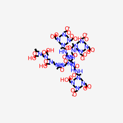 C=CCN(CCN(CCN(CCNC(C)C(=O)NCC(=O)NC(CNC(=O)CNC(=O)C(C)N1CCN(CC(=O)O)CCN(CC(=O)OC)CCN(CC(=O)OC)CC1)(CNC(=O)CNC(=O)C(C)N1CCN(CC(=O)O)CCN(CC(=O)OC)CCN(CC(=O)OC)CC1)CNC(=O)CNC(=O)C(C)N1CCN(CC(=O)OC)CCN(CC(=O)OC)CCN(CC(=O)OC)CC1)CC(=O)O)CC(=O)O)CC(=O)O